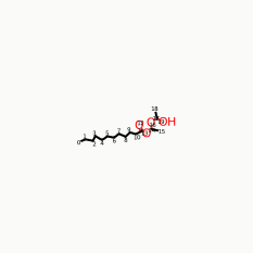 CCCCCCCCCCCC(=O)OC(C)OC(C)O